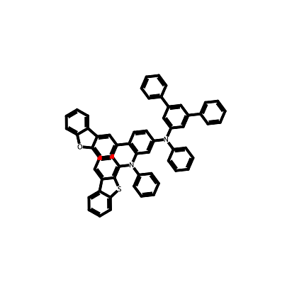 c1ccc(-c2cc(-c3ccccc3)cc(N(c3ccccc3)c3ccc(-c4ccc5oc6ccccc6c5c4)c(N(c4ccccc4)c4cccc5c4sc4ccccc45)c3)c2)cc1